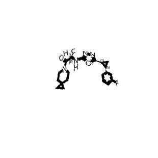 C[C@@H](Nc1nnc([C@H]2C[C@@H]2c2cccc(F)c2)o1)C(=O)N1CCC2(CC1)CC2